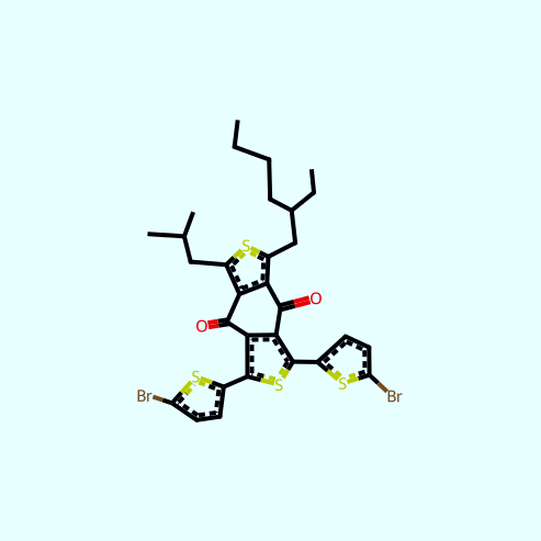 CCCCC(CC)Cc1sc(CC(C)C)c2c1C(=O)c1c(-c3ccc(Br)s3)sc(-c3ccc(Br)s3)c1C2=O